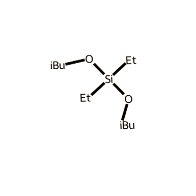 CCC(C)O[Si](CC)(CC)OC(C)CC